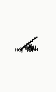 CCCCCCCCC=CCCCCCCCC(=O)O.O=P(O)(O)O.O=P(O)(O)O